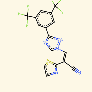 N#C/C(=C/n1cnc(-c2cc(C(F)(F)F)cc(C(F)(F)F)c2)n1)c1nccs1